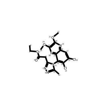 CCOC(=O)Cc1nnc(C)n1-c1c(Cl)c(Cl)cc2nc(OC)c(OC)nc12